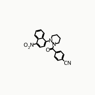 N#Cc1ccc(C(=O)N2CCCCN2c2ccc([N+](=O)[O-])c3ccccc23)cc1